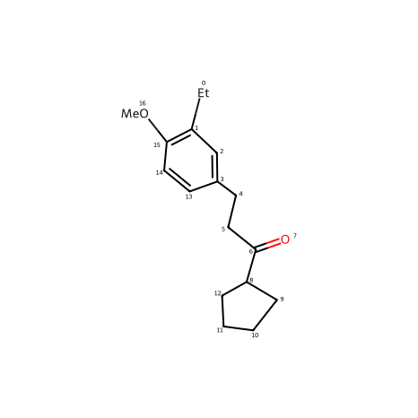 CCc1cc(CCC(=O)C2CCCC2)ccc1OC